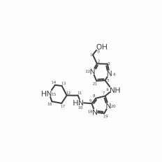 OCc1cnc(Nc2cc(NCC3CCNCC3)ncn2)cn1